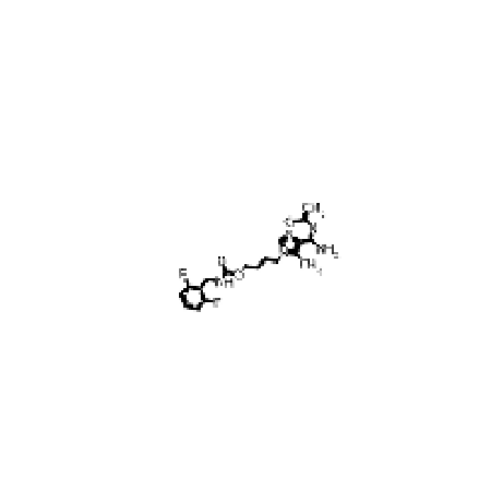 C=C(Cl)/N=C(/N)c1ncn(CCCCOC(=O)NCc2c(F)cccc2F)c1C